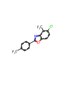 FC(F)(F)c1ccc(-c2nc3c(C(F)(F)F)c(Cl)ccc3o2)cc1